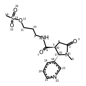 CN1C(=O)C[C@H](C(=O)NCCCOS(C)(=O)=O)[C@H]1c1cccnc1